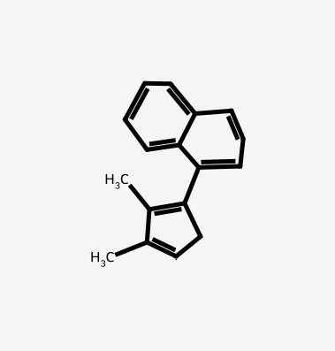 CC1=[C]CC(c2cccc3ccccc23)=C1C